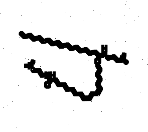 CCCCC/C=C\C/C=C\CCCCCCCC(=O)NCCCN(C)C.CCCCCCCC/C=C/CCCCCCCC(=O)NCCCN(C)C